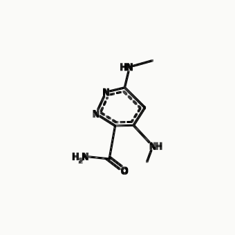 CNc1cc(NC)c(C(N)=O)nn1